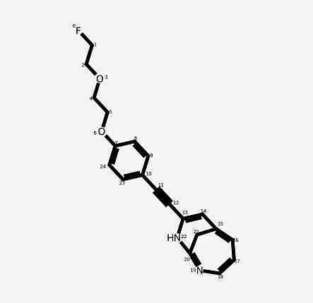 FCCOCCOc1ccc(C#CC2=CC3=CC=CN=C(C3)N2)cc1